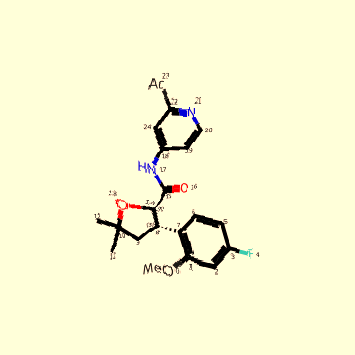 COc1cc(F)ccc1[C@@H]1CC(C)(C)O[C@H]1C(=O)Nc1ccnc(C(C)=O)c1